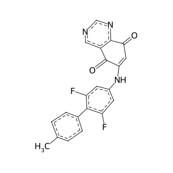 Cc1ccc(-c2c(F)cc(NC3=CC(=O)c4ncncc4C3=O)cc2F)cc1